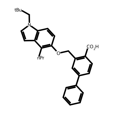 CCCc1c(OCc2cc(-c3ccccc3)ccc2C(=O)O)ccc2c1ccn2CC(C)(C)C